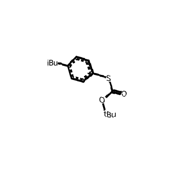 CCC(C)c1ccc(SC(=O)OC(C)(C)C)cc1